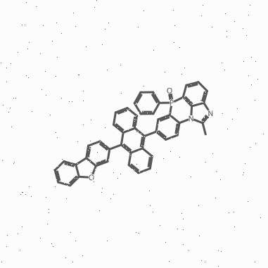 Cc1nc2cccc3c2n1-c1ccc(-c2c4ccccc4c(-c4ccc5c(c4)oc4ccccc45)c4ccccc24)cc1P3(=O)c1ccccc1